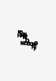 C[C@@H](C(=O)N1CCC(Oc2ccc(-c3ccnc(Nc4cccnc4)n3)cc2C#N)CC1)C(F)F